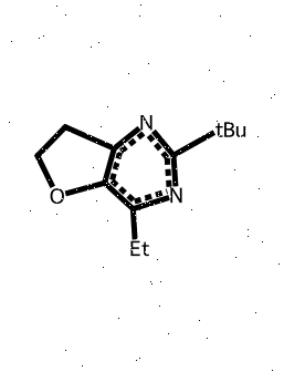 CCc1nc(C(C)(C)C)nc2c1OCC2